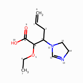 C=CCC(C(OCC)C(=O)O)N1C=NCC1